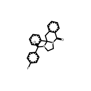 O=C(c1ccc(F)cc1)N1CCN2C(=O)c3ccccc3CC12c1ccccc1